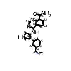 C/N=C\c1cccc([C@H]2CNC[C@@H]2Nc2ncnc3c(C(N)=O)cccc23)c1